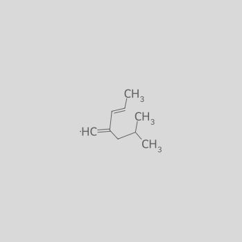 [CH]=C(C=CC)CC(C)C